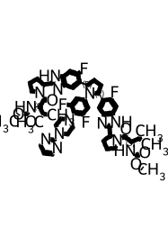 COC(=O)N[C@H](C(=O)N1CCCC1c1nc2cc([C@H]3CC[C@H](c4cc5nc(C6CCCN6C(=O)[C@@H](NC(=O)OC)C(C)C)[nH]c5cc4F)N3c3cc(F)c(N4CCN(c5ncccn5)CC4)c(F)c3)c(F)cc2[nH]1)C(C)C